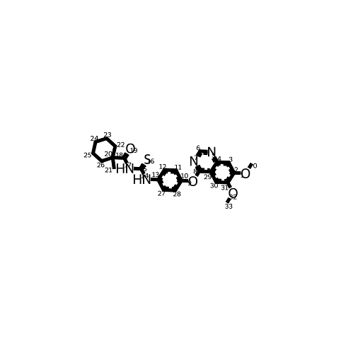 COc1cc2ncnc(Oc3ccc(NC(=S)NC(=O)C4(C)CCCCC4)cc3)c2cc1OC